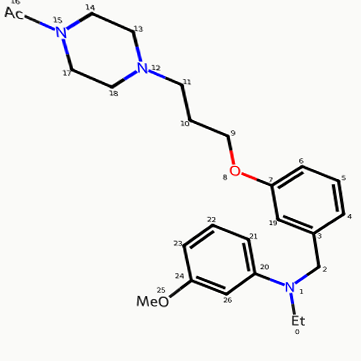 CCN(Cc1cccc(OCCCN2CCN(C(C)=O)CC2)c1)c1cccc(OC)c1